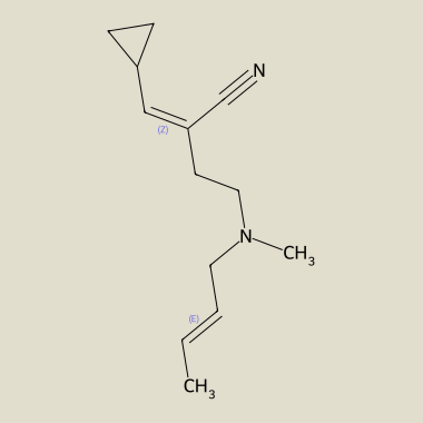 C/C=C/CN(C)CC/C(C#N)=C/C1CC1